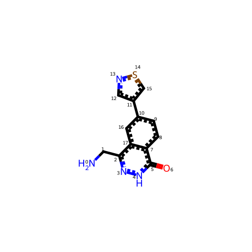 NCc1n[nH]c(=O)c2ccc(-c3cnsc3)cc12